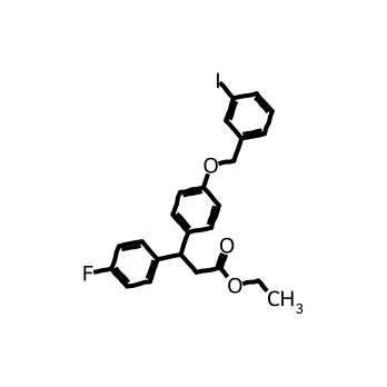 CCOC(=O)CC(c1ccc(F)cc1)c1ccc(OCc2cccc(I)c2)cc1